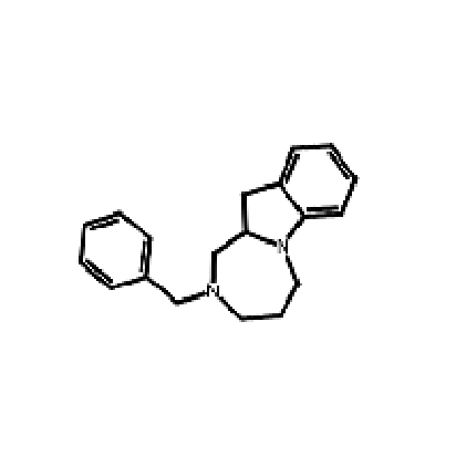 c1ccc(CN2CCCN3c4ccccc4CC3C2)cc1